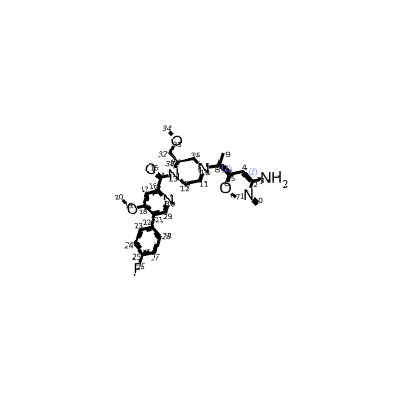 C=N/C(N)=C\C(OC)=C(/C)N1CCN(C(=O)c2cc(OC)c(-c3ccc(F)cc3)cn2)[C@@H](COC)C1